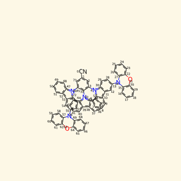 N#Cc1cc(-n2c3ccccc3c3cc(N4c5ccccc5Oc5ccccc54)ccc32)c(-n2c3ccccc3c3ccccc32)c(-n2c3ccccc3c3cc(N4c5ccccc5Oc5ccccc54)ccc32)c1